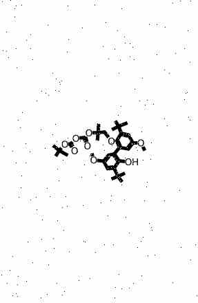 COc1cc(-c2cc(OC)cc(C(C)(C)C)c2OCC(C)(C)OC(=O)OC(=O)OC(C)(C)C)c(O)c(C(C)(C)C)c1